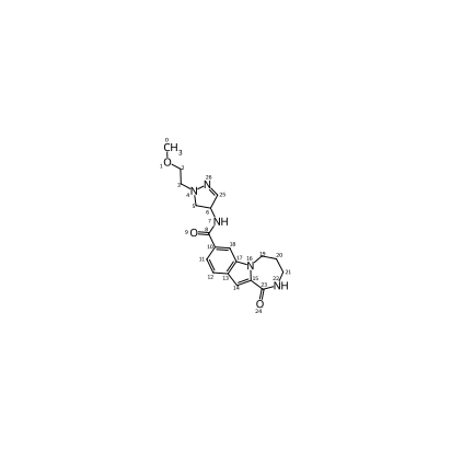 COCCN1CC(NC(=O)c2ccc3cc4n(c3c2)CCCNC4=O)C=N1